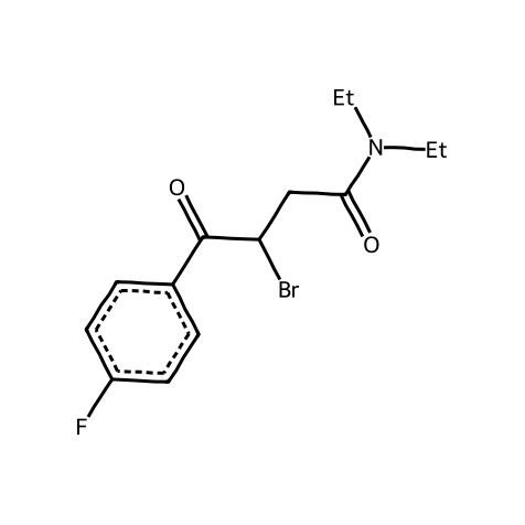 CCN(CC)C(=O)CC(Br)C(=O)c1ccc(F)cc1